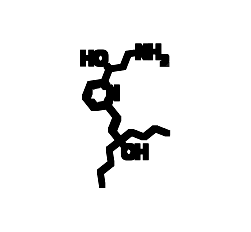 CCCCC(O)(C=Cc1cccc(C(O)CCN)n1)CCCC